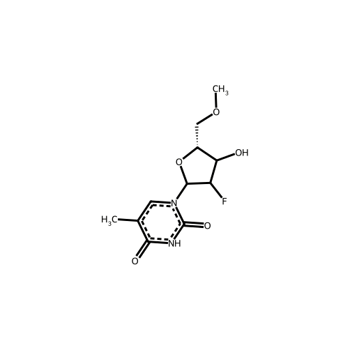 COC[C@H]1OC(n2cc(C)c(=O)[nH]c2=O)C(F)C1O